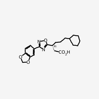 O=C(O)C[C@@H](CCCC1CCCCC1)c1nc(-c2ccc3c(c2)OCO3)no1